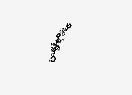 Cn1nc(COC2CCCCOC2)c2nccc(Nc3cc(C4CCC(OC(=O)NCC5C=CC=NC5)C4)[nH]n3)c21